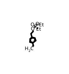 C=Cc1ccc(CCOP(=O)(CC)OCC)cc1